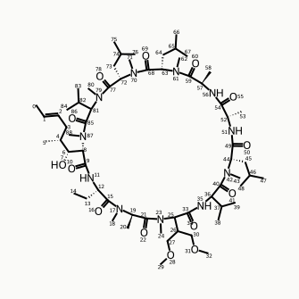 C/C=C/C[C@@H](C)[C@@H](O)[C@H]1C(=O)N[C@@H](CC)C(=O)N(C)[C@H](C)C(=O)N(C)C(C(COC)COC)C(=O)NC(C(C)C)C(=O)N(C)[C@@H](CC(C)C)C(=O)N[C@@H](C)C(=O)N[C@H](C)C(=O)N(C)[C@@H](CC(C)C)C(=O)N(C)[C@@H](CC(C)C)C(=O)N(C)C(C(C)C)C(=O)N1C